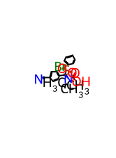 CC(C)(C)N(C(=O)O)C(c1ccc(C#N)cc1Br)S(=O)(=O)c1ccccc1